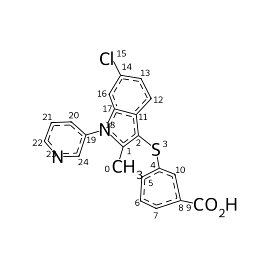 Cc1c(Sc2cccc(C(=O)O)c2)c2ccc(Cl)cc2n1-c1cccnc1